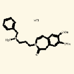 COc1cc2c(cc1OC)CC(=O)N(CCCN(C)Cc1ccccc1)C=C2.Cl